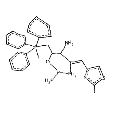 C/C(=C\c1csc(C)n1)C(N)C(CP(I)(c1ccccc1)(c1ccccc1)c1ccccc1)OP(P)P